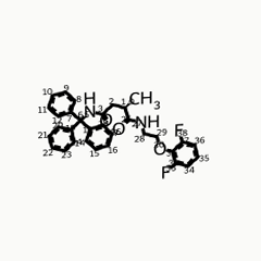 C[C@H](CC(=O)NC(c1ccccc1)(c1ccccc1)c1ccccc1)C(=O)NCCOc1c(F)cccc1F